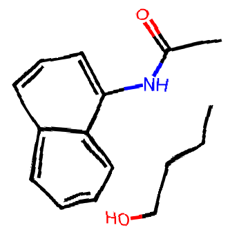 CC(=O)Nc1cccc2ccccc12.CCCCO